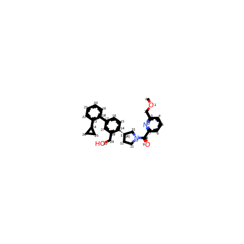 COCc1cccc(C(=O)N2CC[C@H](c3ccc(-c4ccccc4C4CC4)cc3CO)C2)n1